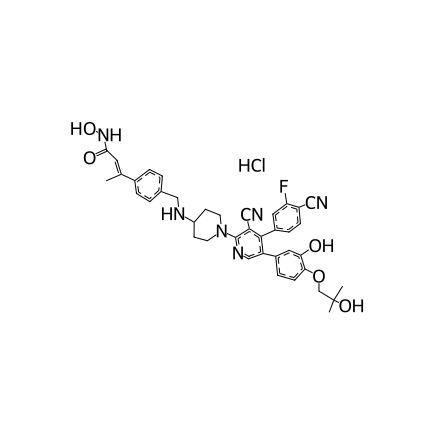 C/C(=C\C(=O)NO)c1ccc(CNC2CCN(c3ncc(-c4ccc(OCC(C)(C)O)c(O)c4)c(-c4ccc(C#N)c(F)c4)c3C#N)CC2)cc1.Cl